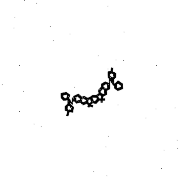 Cc1ccc(N(c2ccccc2)c2ccc3cc4c(cc3c2)C(C)(C)c2cc3c(cc2-4)-c2cc4ccc(N(c5ccccc5)c5ccc(C)cc5)cc4cc2C3(C)C)cc1